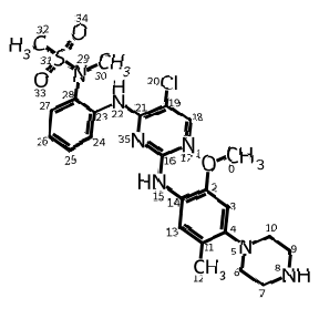 COc1cc(N2CCNCC2)c(C)cc1Nc1ncc(Cl)c(Nc2ccccc2N(C)S(C)(=O)=O)n1